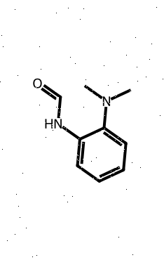 CN(C)c1ccccc1NC=O